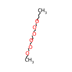 CCCCCOCCOCCOCCOCCOCCOCCC